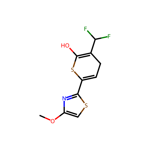 COc1csc(C2=CCC(C(F)F)=C(O)S2)n1